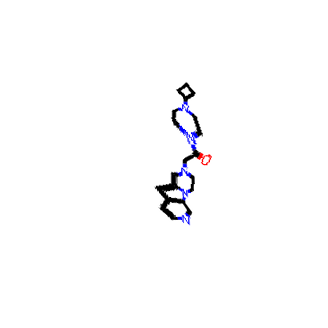 O=C(CN1CCn2c(cc3ccncc32)C1)N1CCN(C2CCC2)CC1